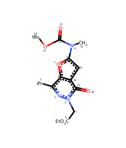 CCOC(=O)Cn1nc(C(C)C)c2oc(N(C)C(=O)OC(C)(C)C)cc2c1=O